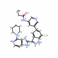 CC(C)CC(=O)Nc1cncc(-c2cc(F)c3[nH]nc(-c4nc5c(N6CCCCC6)nccc5[nH]4)c3c2)c1